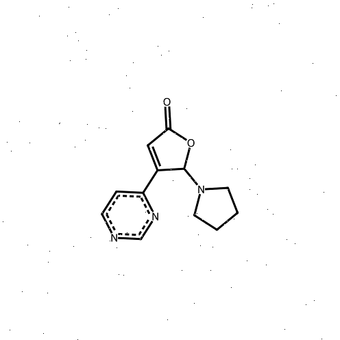 O=C1C=C(c2ccncn2)C(N2CCCC2)O1